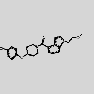 COCCn1ccc2c(C(=O)N3CCC(Oc4ccc(Cl)cc4)CC3)cccc21